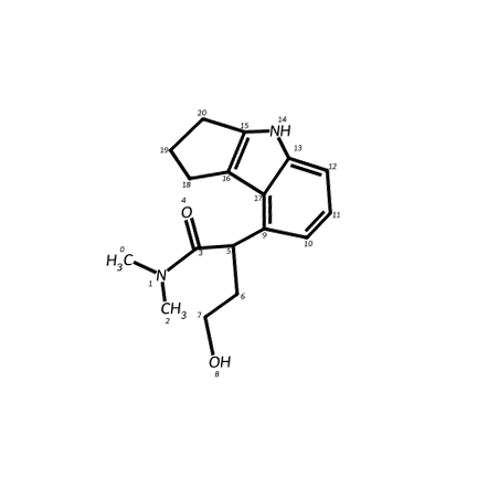 CN(C)C(=O)C(CCO)c1cccc2[nH]c3c(c12)CCC3